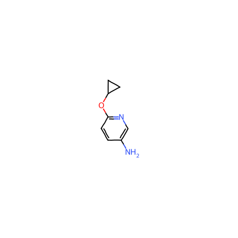 Nc1ccc(OC2CC2)nc1